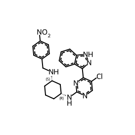 O=[N+]([O-])c1ccc(CN[C@H]2CCC[C@@H](Nc3ncc(Cl)c(-c4n[nH]c5ccccc45)n3)C2)cc1